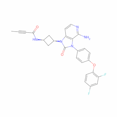 CC#CC(=O)N[C@H]1C[C@@H](n2c(=O)n(-c3ccc(Oc4ccc(F)cc4F)cc3)c3c(N)nccc32)C1